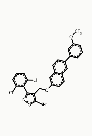 CC(C)c1onc(-c2c(Cl)cccc2Cl)c1COc1ccc2cc(-c3cccc(OC(F)(F)F)c3)ccc2c1